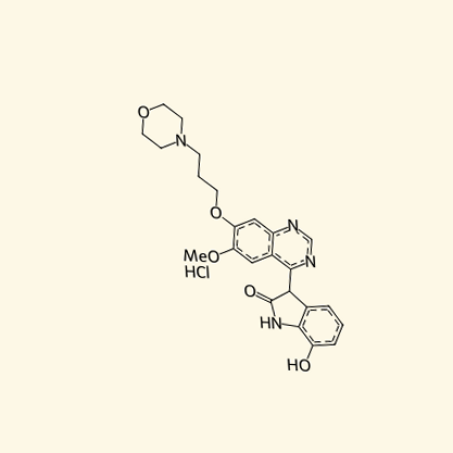 COc1cc2c(C3C(=O)Nc4c(O)cccc43)ncnc2cc1OCCCN1CCOCC1.Cl